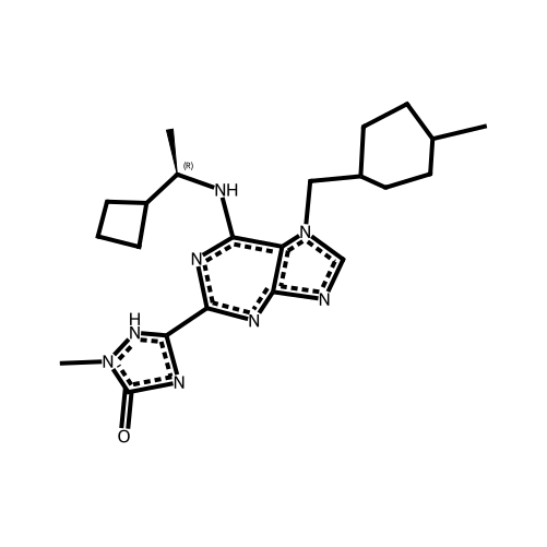 CC1CCC(Cn2cnc3nc(-c4nc(=O)n(C)[nH]4)nc(N[C@H](C)C4CCC4)c32)CC1